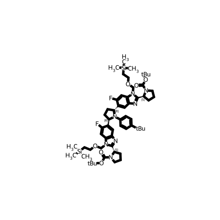 CC(C)(C)OC(=O)N1CCC[C@H]1c1nc2cc([C@H]3CC[C@H](c4cc5nc([C@@H]6CCCN6C(=O)OC(C)(C)C)n(COCC[Si](C)(C)C)c5cc4F)N3c3ccc(C(C)(C)C)cc3)c(F)cc2n1COCC[Si](C)(C)C